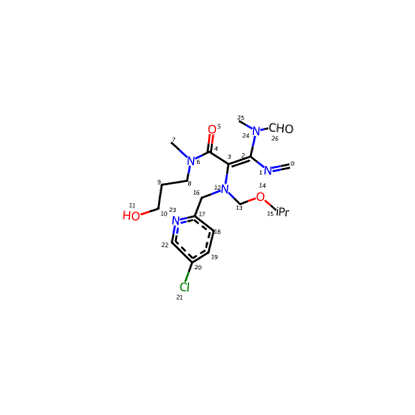 C=N/C(=C(/C(=O)N(C)CCCO)N(COC(C)C)Cc1ccc(Cl)cn1)N(C)C=O